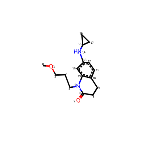 COCCCN1C(=O)CCc2ccc(NC3CC3)cc21